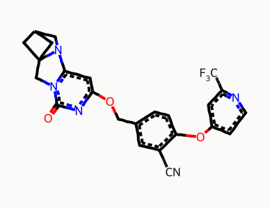 N#Cc1cc(COc2cc3n(c(=O)n2)CC24CC(CN32)C4)ccc1Oc1ccnc(C(F)(F)F)c1